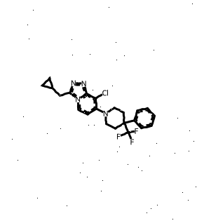 FC(F)(F)C1(c2ccccc2)CCN(c2ccn3c(CC4CC4)nnc3c2Cl)CC1